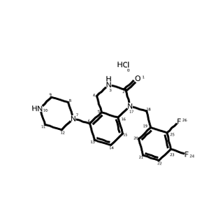 Cl.O=C1NCc2c(N3CCNCC3)cccc2N1Cc1cccc(F)c1F